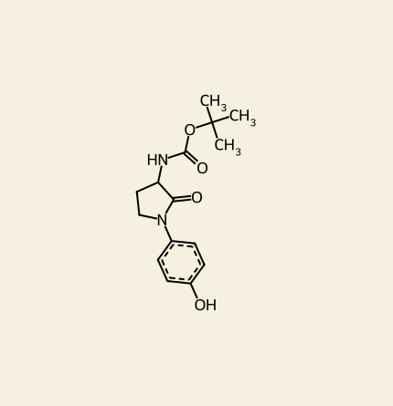 CC(C)(C)OC(=O)NC1CCN(c2ccc(O)cc2)C1=O